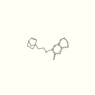 O=c1oc2ccccc2cc1OCCC12C=CC(CC1)C2